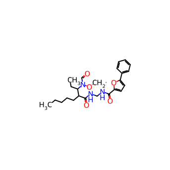 [CH2]ON(C=O)C(CC)C(CCCCC)C(=O)NCNC(=O)c1ccc(-c2ccccc2)o1